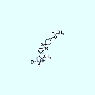 CCc1cc(-c2ccc(S(=O)(=O)N3CCN(C4OC(C)O4)CC3)s2)c(C)[nH]c1=O